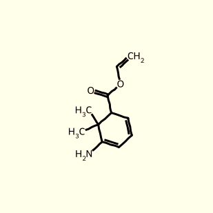 C=COC(=O)C1C=CC=C(N)C1(C)C